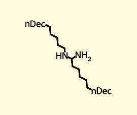 CCCCCCCCCCCCCCCNC(N)CCCCCCCCCCCCCCC